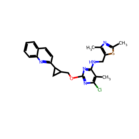 Cc1nc(C)c(CNc2nc(OCC3CC3c3ccc4ccccc4n3)nc(Cl)c2C)s1